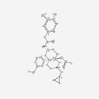 COc1cccc([C@@]23CCN(CC4CC4)C[C@@]2(OC(C)=O)CC[C@@H](NC(=O)Cc2ccc(Cl)c(Cl)c2)C3)c1